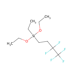 CCO[Si](CC)(CCC(F)(F)C(F)(F)F)OCC